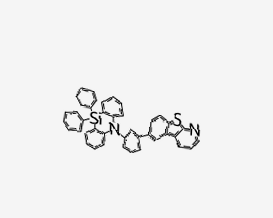 c1ccc([Si]2(c3ccccc3)c3ccccc3N(c3cccc(-c4ccc5sc6ncccc6c5c4)c3)c3ccccc32)cc1